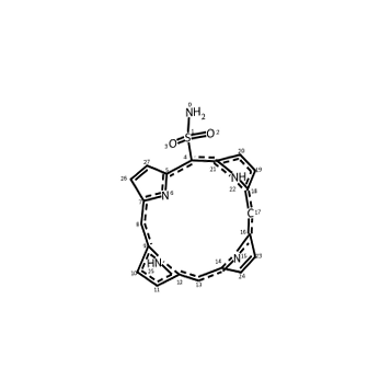 NS(=O)(=O)c1c2nc(cc3ccc(cc4nc(cc5ccc1[nH]5)C=C4)[nH]3)C=C2